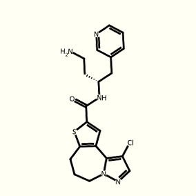 NCC[C@H](Cc1cccnc1)NC(=O)c1cc2c(s1)CCCn1ncc(Cl)c1-2